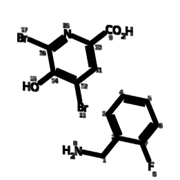 NCc1ccccc1F.O=C(O)c1cc(Br)c(O)c(Br)n1